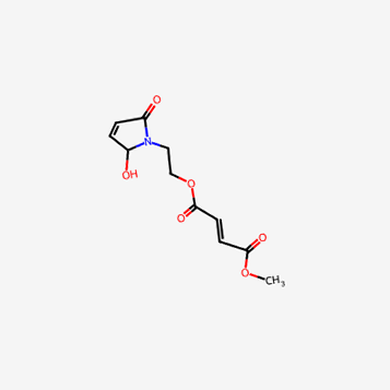 COC(=O)/C=C/C(=O)OCCN1C(=O)C=CC1O